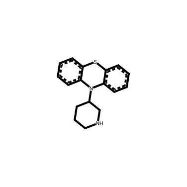 c1ccc2c(c1)Sc1ccccc1N2C1CCCNC1